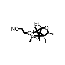 CC[C@@]12O[C@@H](C)[C@H]([C@@H]1OP(C)OCCC#N)C(C)(C)C2(C)C